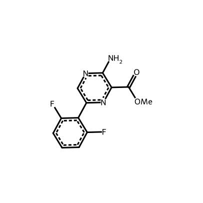 COC(=O)c1nc(-c2c(F)cccc2F)cnc1N